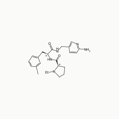 CCN1CCC[C@@H]1C(=O)N[C@@H](Cc1cccc(C)c1)C(=O)NCc1ccc(N)nc1